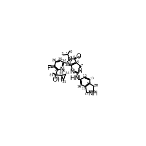 CC(C)n1c(=O)c2cnc(Nc3ccc4c(c3)CNCC4)nc2n1-c1ccc(F)c(C(C)(O)C2CC2)n1